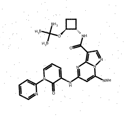 BC(B)(B)O[C@H]1CC[C@@H]1NC(=O)c1cnn2c(NC)cc(Nc3cccn(-c4ccccn4)c3=O)nc12